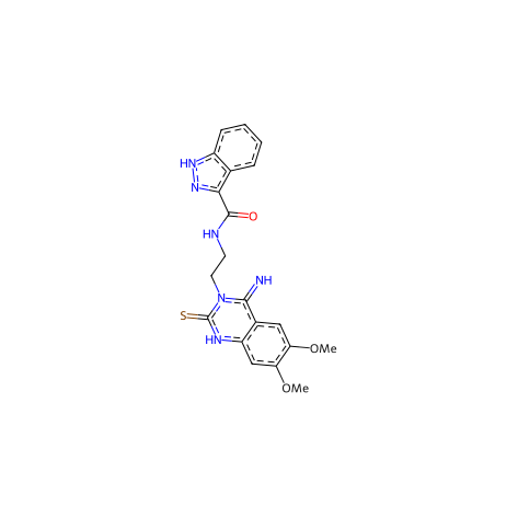 COc1cc2[nH]c(=S)n(CCNC(=O)c3n[nH]c4ccccc34)c(=N)c2cc1OC